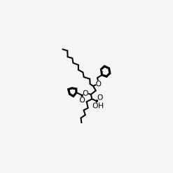 CCCCCCCCCCCC(CC(OC(=O)c1ccccc1)C(CCCCCC)C(=O)O)OCc1ccccc1